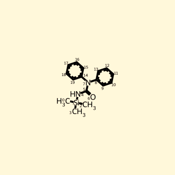 C[Si](C)(C)NC(=O)N(c1ccccc1)c1ccccc1